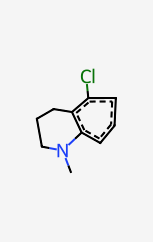 CN1CCCc2c(Cl)cccc21